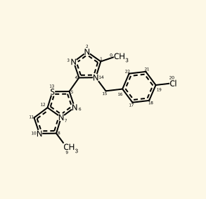 Cc1nnc(-c2nn3c(C)ncc3s2)n1Cc1ccc(Cl)cc1